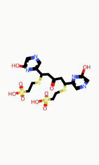 O=C(CC(SCCS(=O)(=O)O)c1cncc(O)n1)CC(SCCS(=O)(=O)O)c1cncc(O)n1